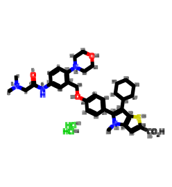 CN(C)CC(=O)Nc1ccc(N2CCOCC2)c(COc2ccc(-c3c(C4CCCCC4)c4sc(C(=O)O)cc4n3C)cc2)c1.Cl.Cl